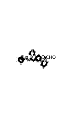 O=CC(Oc1ccc(CC(=NOC2CC3CCC2CC3)N2CCOCC2)cc1)N1CCCCC1